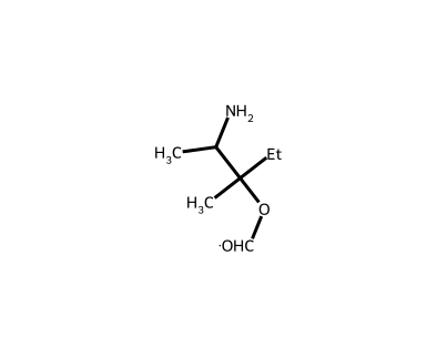 CCC(C)(O[C]=O)C(C)N